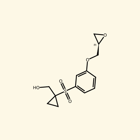 O=S(=O)(c1cccc(OC[C@H]2CO2)c1)C1(CO)CC1